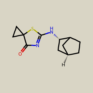 O=C1N=C(N[C@H]2C[C@@H]3CCC2C3)SC12CC2